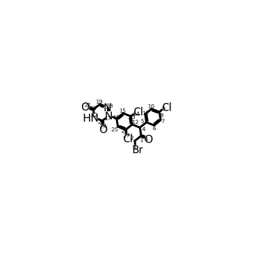 O=C(CBr)C(c1ccc(Cl)cc1)c1c(Cl)cc(-n2ncc(=O)[nH]c2=O)cc1Cl